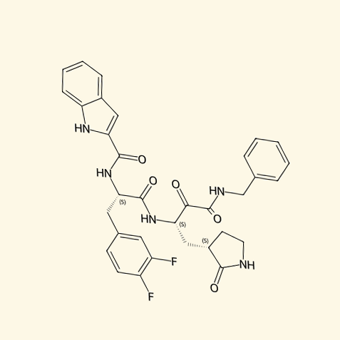 O=C(NCc1ccccc1)C(=O)[C@H](C[C@@H]1CCNC1=O)NC(=O)[C@H](Cc1ccc(F)c(F)c1)NC(=O)c1cc2ccccc2[nH]1